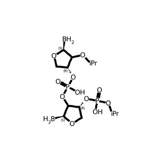 B[C@@H]1OC[C@@H](OP(=O)(O)OC(C)C)C1OP(=O)(O)O[C@@H]1CO[C@@H](B)C1OC(C)C